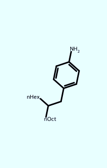 CCCCCCCCC(CCCCCC)Cc1ccc(N)cc1